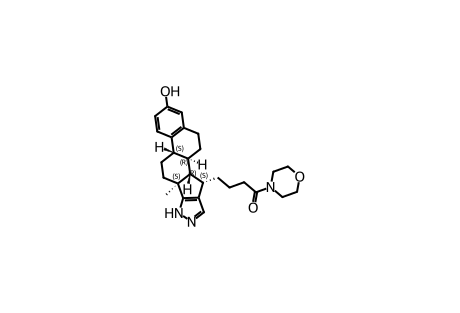 C[C@]12CC[C@@H]3c4ccc(O)cc4CC[C@H]3[C@@H]1[C@H](CCCC(=O)N1CCOCC1)c1cn[nH]c12